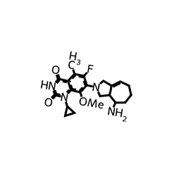 COc1c(N2CC3=CCCCC(N)C3C2)c(F)c(C)c2c(=O)[nH]c(=O)n(C3CC3)c12